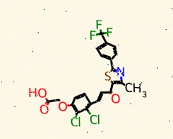 Cc1nc(-c2ccc(C(F)(F)F)cc2)sc1C(=O)C=Cc1ccc(OCC(=O)O)c(Cl)c1Cl